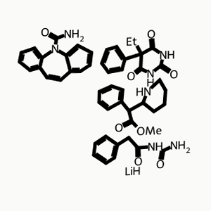 CCC1(c2ccccc2)C(=O)NC(=O)NC1=O.COC(=O)C(c1ccccc1)C1CCCCN1.NC(=O)N1c2ccccc2C=Cc2ccccc21.NC(=O)NC(=O)Cc1ccccc1.[LiH]